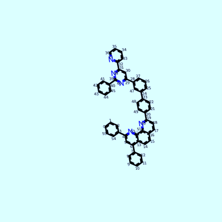 c1ccc(-c2cc(-c3ccccc3)c3ccc4ccc(-c5ccc(-c6cccc(-c7cc(-c8ccccn8)nc(-c8ccccc8)n7)c6)cc5)nc4c3n2)cc1